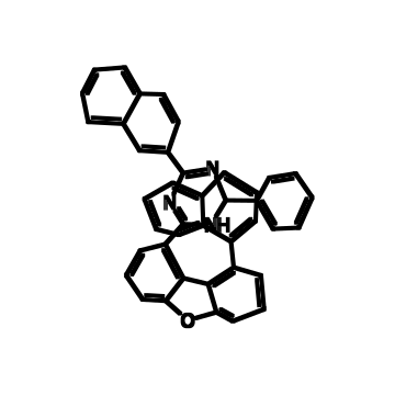 c1ccc(C2N=C(c3ccc4ccccc4c3)N=C(c3cccc4oc5cccc(-c6cccc7ccccc67)c5c34)N2)cc1